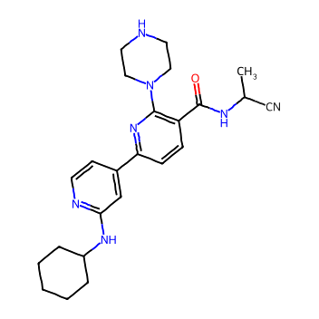 CC(C#N)NC(=O)c1ccc(-c2ccnc(NC3CCCCC3)c2)nc1N1CCNCC1